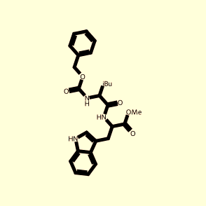 CCC(C)C(NC(=O)OCc1ccccc1)C(=O)NC(Cc1c[nH]c2ccccc12)C(=O)OC